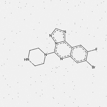 Fc1cc2c(cc1Br)nc(N1CCNCC1)n1ncnc21